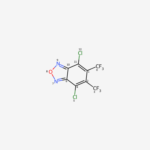 FC(F)(F)c1c(C(F)(F)F)c(Cl)c2nonc2c1Cl